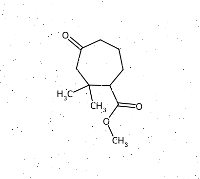 COC(=O)C1CCCC(=O)CC1(C)C